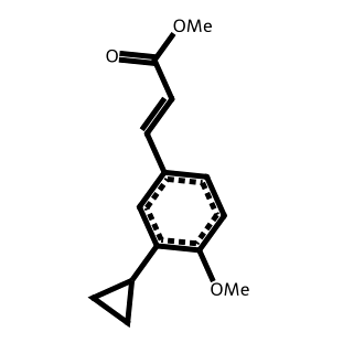 COC(=O)C=Cc1ccc(OC)c(C2CC2)c1